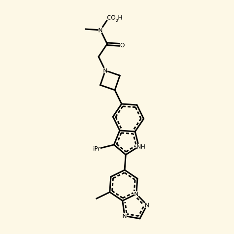 Cc1cc(-c2[nH]c3ccc(C4CN(CC(=O)N(C)C(=O)O)C4)cc3c2C(C)C)cn2ncnc12